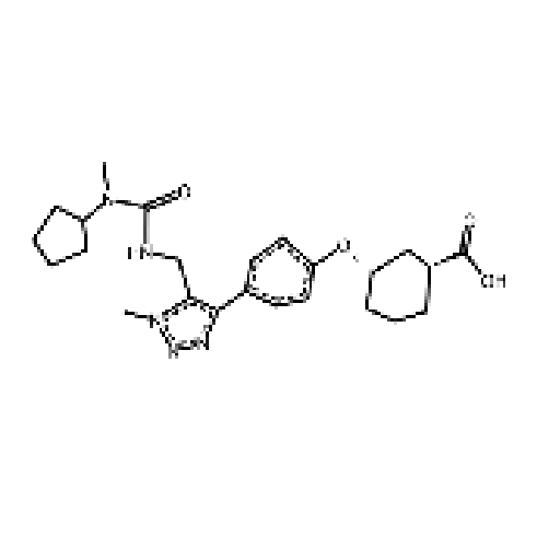 CN(C(=O)NCc1c(-c2ccc(O[C@H]3CCC[C@H](C(=O)O)C3)cc2)nnn1C)C1CCCC1